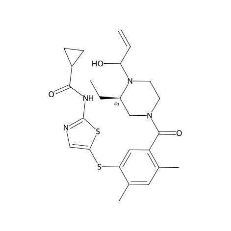 C=CC(O)N1CCN(C(=O)c2cc(Sc3cnc(NC(=O)C4CC4)s3)c(C)cc2C)C[C@H]1CC